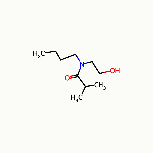 CCCCN(CCO)C(=O)C(C)C